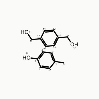 Cc1ccc(O)cc1.OCc1ccc(CO)cc1